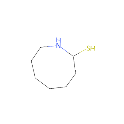 SC1CCCCCCN1